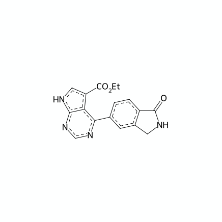 CCOC(=O)c1c[nH]c2ncnc(-c3ccc4c(c3)CNC4=O)c12